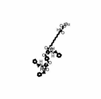 CC(C)(C)OC(=O)CNC(=O)CCCCCCCCCCCNC(=O)[C@@H]1CN(C(=O)c2ccc(C(=O)N3C[C@@H](C(=O)N[C@H]4C[C@@H]4c4ccccc4)[C@H](C(=O)N[C@H]4C[C@@H]4c4ccccc4)C3)cc2)C[C@H]1C(=O)N[C@H]1C[C@@H]1c1ccccc1